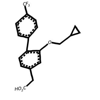 O=C(O)Cc1ccc(-c2ccc(C(F)(F)F)cc2)c(OCC2CC2)c1